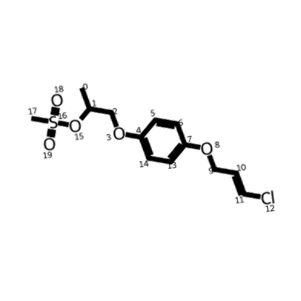 CC(COc1ccc(OCC=CCl)cc1)OS(C)(=O)=O